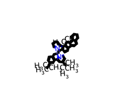 CC(C)(C)c1ccc2c(c1)-c1cc(C(C)(C)C)cc[n+]1/C(=C1\c3ccc4c(c3-c3cccc[n+]31)C(C)(C)c1c-4ccc3ccccc13)C2